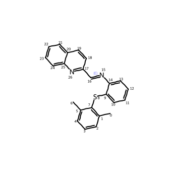 Cc1cccc(C)c1Sc1ccccc1/N=C/c1ccc2ccccc2n1